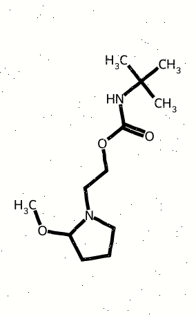 COC1CCCN1CCOC(=O)NC(C)(C)C